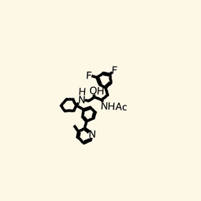 CC(=O)NC(Cc1cc(F)cc(F)c1)C(O)CNC1(c2cccc(-c3ncccc3C)c2)CCCCC1